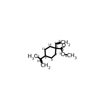 C=CC1(C(=O)OC)CCC(C(=C)C)CC1